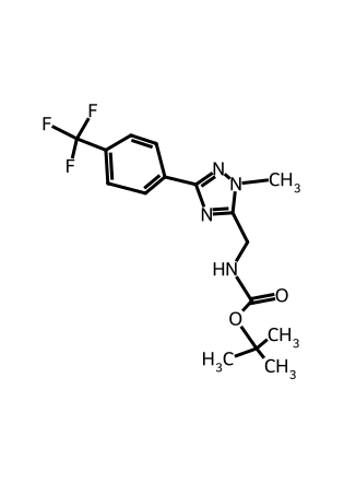 Cn1nc(-c2ccc(C(F)(F)F)cc2)nc1CNC(=O)OC(C)(C)C